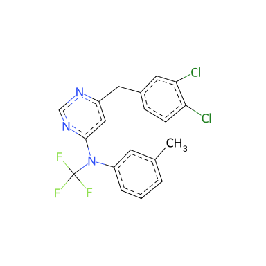 Cc1cccc(N(c2cc(Cc3ccc(Cl)c(Cl)c3)ncn2)C(F)(F)F)c1